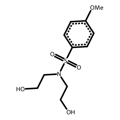 COc1ccc(S(=O)(=O)N(CCO)CCO)cc1